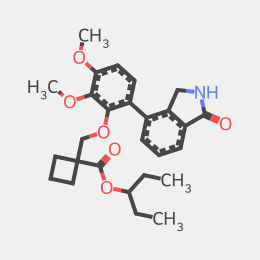 CCC(CC)OC(=O)C1(COc2c(-c3cccc4c3CNC4=O)ccc(OC)c2OC)CCC1